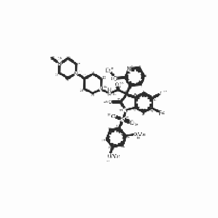 CCOc1ncccc1C1(C(=O)NN2CCC(N3CCN(C)CC3)CC2)C(=O)N(S(=O)(=O)c2ccc(OC)cc2OC)c2cc(F)c(F)cc21